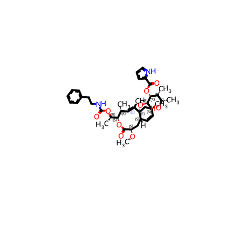 CO[C@H]1C[C@H]2C=C[C@]3(C)C[C@]2(O[C@H]3[C@H](OC(=O)c2ccc[nH]2)[C@H](C)[C@H](C)O)/C(C)=C/[C@@H](C)[C@@H]([C@@H](C)OC(=O)NCCc2ccccc2)OC1=O